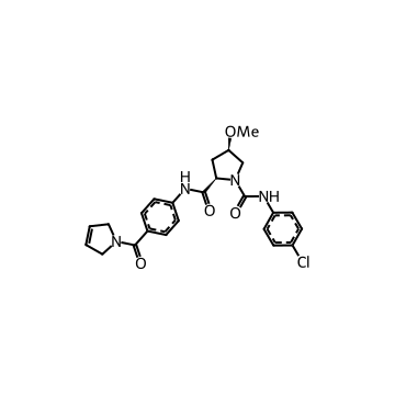 CO[C@@H]1C[C@H](C(=O)Nc2ccc(C(=O)N3CC=CC3)cc2)N(C(=O)Nc2ccc(Cl)cc2)C1